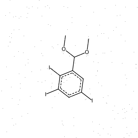 COC(OC)c1cc(I)cc(I)c1I